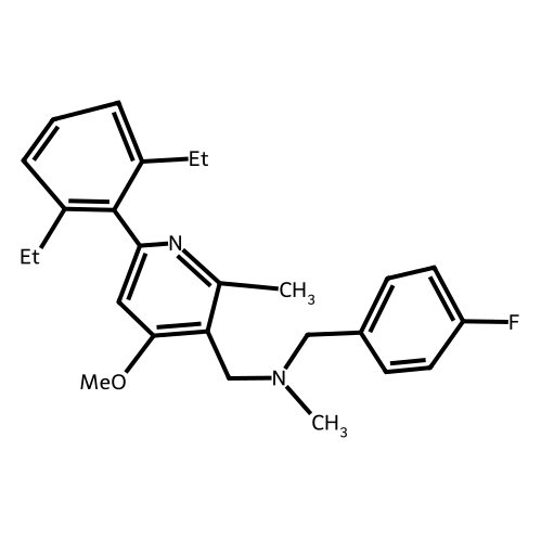 CCc1cccc(CC)c1-c1cc(OC)c(CN(C)Cc2ccc(F)cc2)c(C)n1